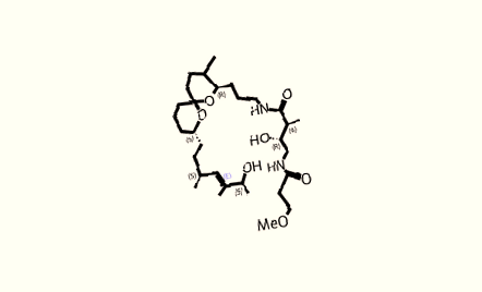 COCCC(=O)NC[C@H](O)[C@H](C)C(=O)NCCC[C@H]1OC2(CCC[C@@H](CC[C@H](C)/C=C(\C)[C@H](C)O)O2)CCC1C